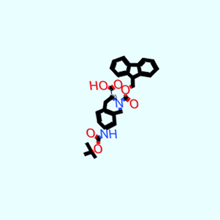 CC(C)(C)OC(=O)Nc1ccc2c(c1)CN(C(=O)OCC1c3ccccc3-c3ccccc31)[C@@H](C(=O)O)C2